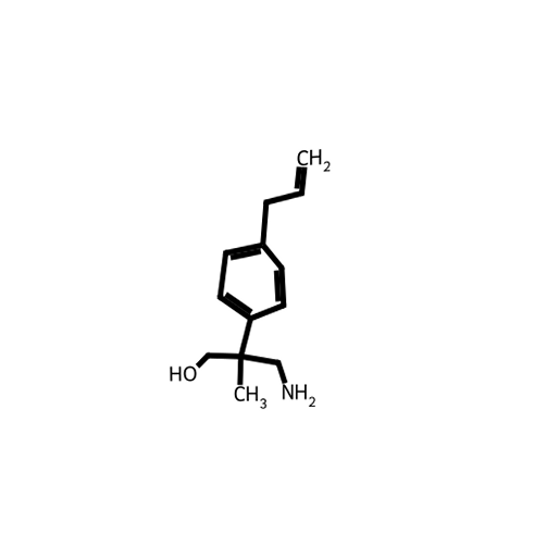 C=CCc1ccc(C(C)(CN)CO)cc1